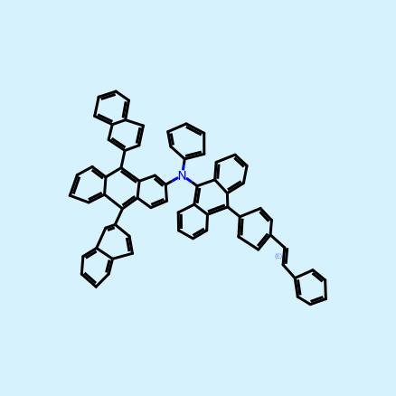 C(=C\c1ccc(-c2c3ccccc3c(N(c3ccccc3)c3ccc4c(-c5ccc6ccccc6c5)c5ccccc5c(-c5ccc6ccccc6c5)c4c3)c3ccccc23)cc1)/c1ccccc1